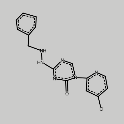 O=c1nc(NNCc2ccccc2)ncn1-c1cc(Cl)ccn1